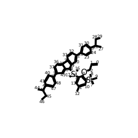 C=CCOc1c([Si](C)(C)C)cc(C)cc1[Si](C)(C)C1c2cc(-c3ccc(C(C)CC)cc3)ccc2-c2ccc(-c3ccc(C(C)CC)cc3)cc21